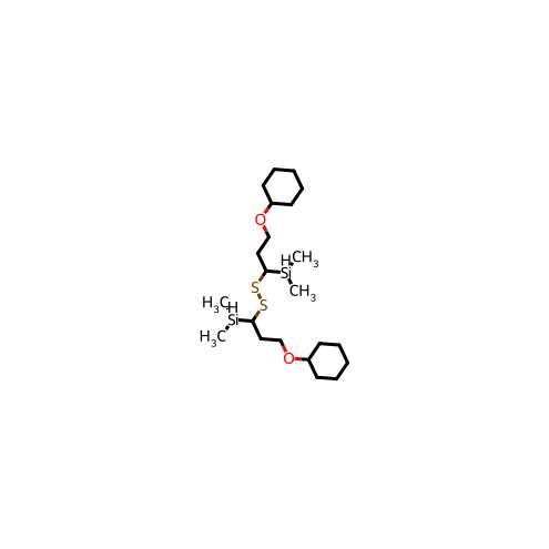 C[SiH](C)C(CCOC1CCCCC1)SSC(CCOC1CCCCC1)[SiH](C)C